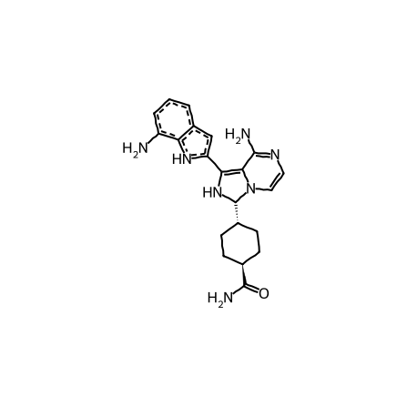 NC1=NC=CN2C1=C(c1cc3cccc(N)c3[nH]1)NC2[C@H]1CC[C@H](C(N)=O)CC1